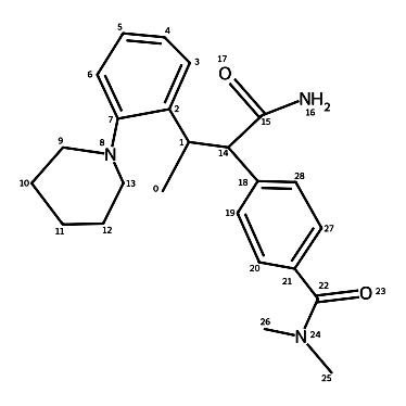 CC(c1ccccc1N1CCCCC1)C(C(N)=O)c1ccc(C(=O)N(C)C)cc1